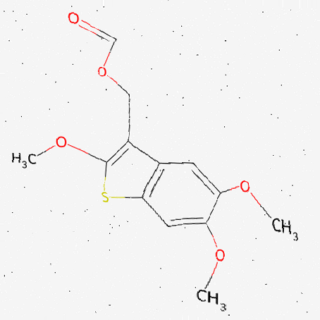 COc1cc2sc(OC)c(COC=O)c2cc1OC